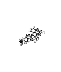 CC(=O)Oc1cc(S(=O)(=O)O)c2ccccc2c1NC(=O)c1ccc([N+](=O)[O-])cc1